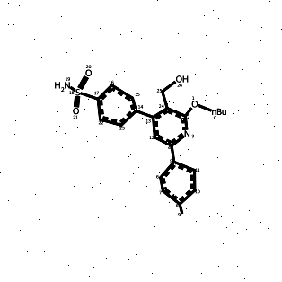 CCCCOc1nc(-c2ccc(C)cc2)cc(-c2ccc(S(N)(=O)=O)cc2)c1CO